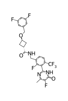 Cc1nc(-c2c(C(F)(F)F)ccc(CNC(=O)[C@H]3C[C@H](OCc4cc(F)cc(F)c4)C3)c2F)[nH]c(=O)c1F